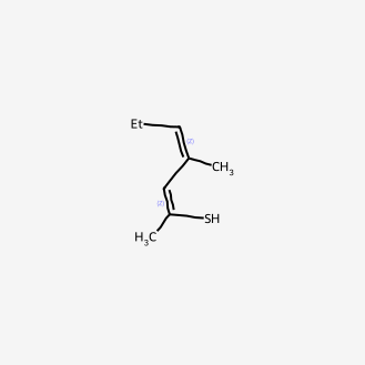 CC/C=C(C)\C=C(\C)S